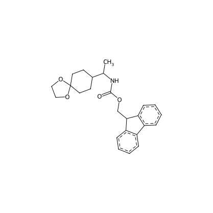 CC(NC(=O)OCC1c2ccccc2-c2ccccc21)C1CCC2(CC1)OCCO2